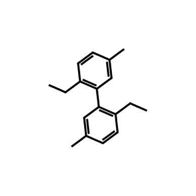 CCc1ccc(C)cc1-c1cc(C)ccc1CC